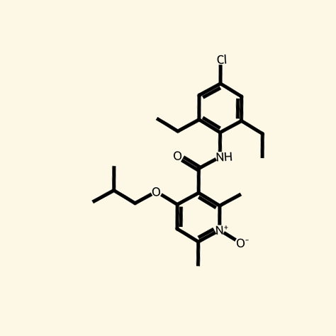 CCc1cc(Cl)cc(CC)c1NC(=O)c1c(OCC(C)C)cc(C)[n+]([O-])c1C